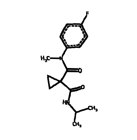 CC(C)NC(=O)C1(C(=O)N(C)c2ccc(F)cc2)CC1